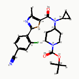 Cc1nc(-c2ccc(C#N)cc2F)sc1C(=O)N(C1CC1)C1CCN(C(=O)OC(C)(C)C)CC1